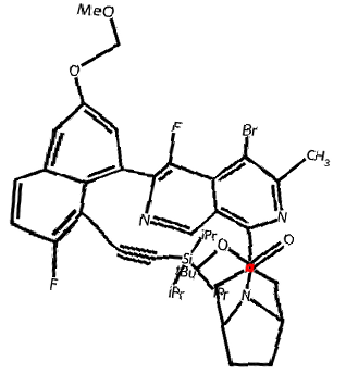 COCOc1cc(-c2ncc3c(N4CC5CCC(C4)N5C(=O)OC(C)(C)C)nc(C)c(Br)c3c2F)c2c(C#C[Si](C(C)C)(C(C)C)C(C)C)c(F)ccc2c1